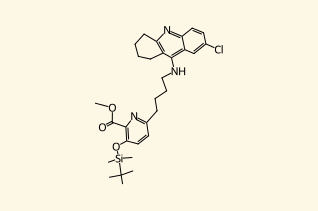 COC(=O)c1nc(CCCCNc2c3c(nc4ccc(Cl)cc24)CCCC3)ccc1O[Si](C)(C)C(C)(C)C